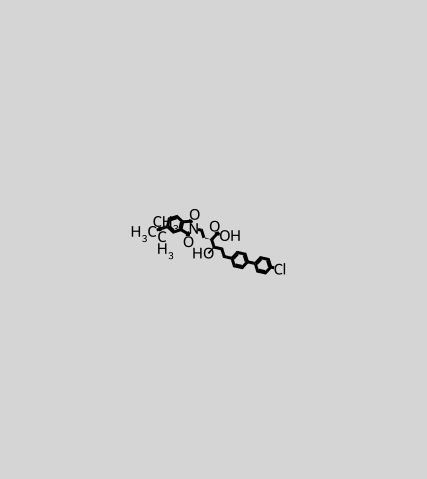 CC(C)(C)c1ccc2c(c1)C(=O)N(CC[C@H](C(=O)O)[C@H](O)CCc1ccc(-c3ccc(Cl)cc3)cc1)C2=O